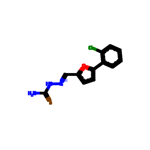 NC(=S)N/N=C/c1ccc(-c2ccccc2Cl)o1